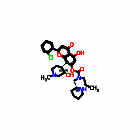 CCCN(C[C@H]1CCCCN1)C(=O)Oc1cc(O)c2c(=O)cc(-c3ccccc3Cl)oc2c1[C@H]1CCN(C)C[C@H]1O